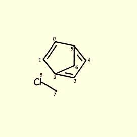 C1=CC2=CC=C1C2.CCl